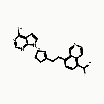 Nc1ncnc2c1ccn2[C@@H]1C=C(CCc2ccc(C(F)F)c3ccncc23)CC1